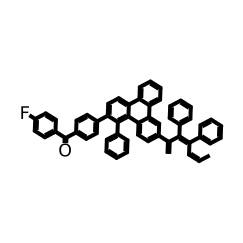 C=C(/C(=C(\C=C/C)c1ccccc1)c1ccccc1)c1ccc2c(c1)c1ccccc1c1ccc(-c3ccc(C(=O)c4ccc(F)cc4)cc3)c(-c3ccccc3)c12